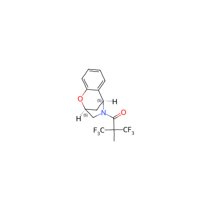 CC(C(=O)N1C[C@@H]2C[C@H]1c1ccccc1O2)(C(F)(F)F)C(F)(F)F